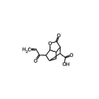 C=CC(=O)C1C2CC3C1OC(=O)C3C2C(=O)O